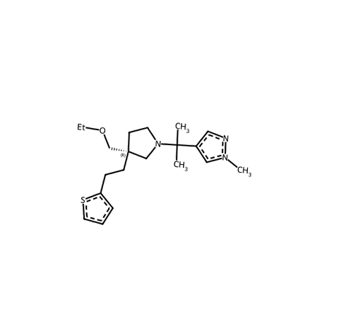 CCOC[C@]1(CCc2cccs2)CCN(C(C)(C)c2cnn(C)c2)C1